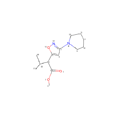 COC(=O)C(c1cc(N2CCCCC2)no1)C(C)C